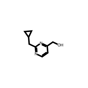 OCc1ccnc(CC2CC2)n1